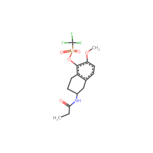 CCC(=O)NC1CCc2c(ccc(OC)c2OS(=O)(=O)C(F)(F)F)C1